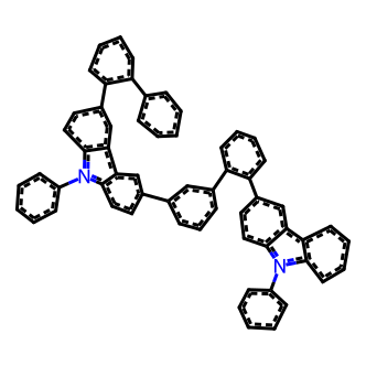 c1ccc(-c2ccccc2-c2ccc3c(c2)c2cc(-c4cccc(-c5ccccc5-c5ccc6c(c5)c5ccccc5n6-c5ccccc5)c4)ccc2n3-c2ccccc2)cc1